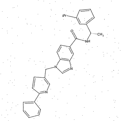 CC(C)c1cccc([C@H](C)NC(=O)c2ccc3c(c2)ncn3Cc2ccc(-c3ccccc3)nc2)c1